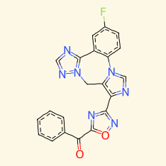 O=C(c1ccccc1)c1nc(-c2ncn3c2Cn2ncnc2-c2cc(F)ccc2-3)no1